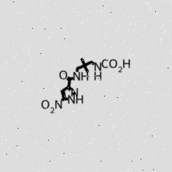 CC(C)(CNC(=O)O)CNC(=O)c1cc([N+](=O)[O-])[nH]n1